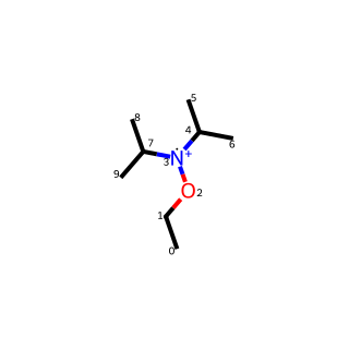 CCO[N+](C(C)C)C(C)C